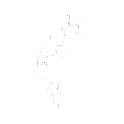 Cc1nc2ccc(-c3cnn(C)c3)cn2c1-c1cccc([C@]2(C)CC(=O)N(C)C(=N)N2)c1